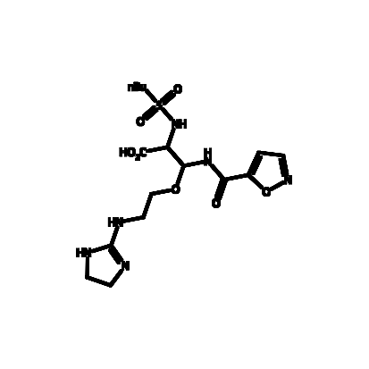 CCCCS(=O)(=O)NC(C(=O)O)C(NC(=O)c1ccno1)OCCNC1=NCCN1